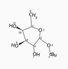 CC1OC(OC(C)(C)C)C(O)[C@@H](O)[C@H]1O